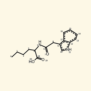 CCCCC(NC(=O)Cc1c[nH]c2ccccc12)C(=O)O